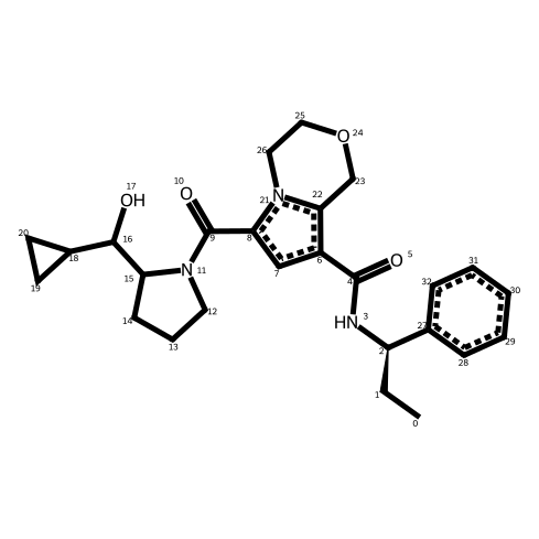 CC[C@@H](NC(=O)c1cc(C(=O)N2CCCC2C(O)C2CC2)n2c1COCC2)c1ccccc1